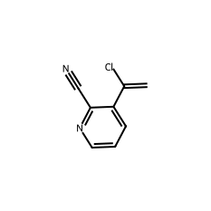 C=C(Cl)c1cccnc1C#N